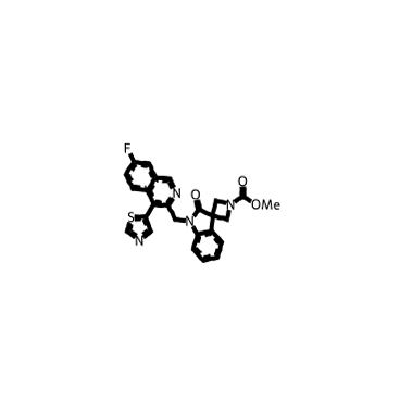 COC(=O)N1CC2(C1)C(=O)N(Cc1ncc3cc(F)ccc3c1-c1cncs1)c1ccccc12